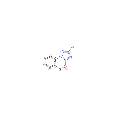 Cc1nc2n(n1)-c1ccccc1CO2